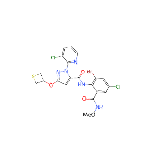 CONC(=O)c1cc(Cl)cc(Br)c1NC(=O)c1cc(OC2CSC2)nn1-c1ncccc1Cl